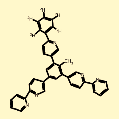 [2H]c1c([2H])c([2H])c(-c2ccc(-c3cc(-c4ccc(-c5ccccn5)nc4)cc(-c4ccc(-c5ccccn5)nc4)c3C)cn2)c([2H])c1[2H]